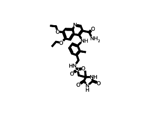 CCOc1cc2ncc(C(N)=O)c(Nc3cccc(CNS(=O)(=O)CC4(C)NC(=O)NC4=O)c3C)c2cc1OCC